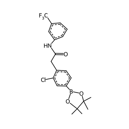 CC1(C)OB(c2ccc(CC(=O)Nc3cccc(C(F)(F)F)c3)c(Cl)c2)OC1(C)C